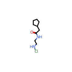 O=C(CC1CCCC1)NCCNCl